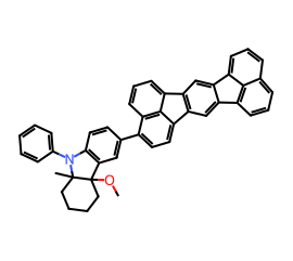 COC12CCCCC1(C)N(c1ccccc1)c1ccc(-c3ccc4c5cc6c(cc5c5cccc3c54)c3cccc4cccc6c43)cc12